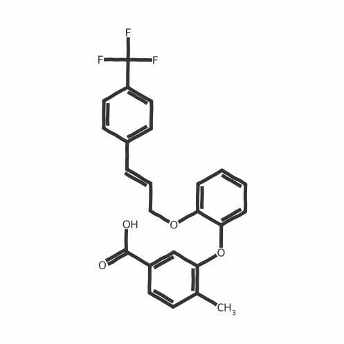 Cc1ccc(C(=O)O)cc1Oc1ccccc1OCC=Cc1ccc(C(F)(F)F)cc1